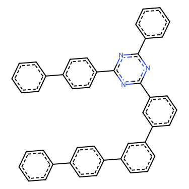 c1ccc(-c2ccc(-c3cccc(-c4cccc(-c5nc(-c6ccccc6)nc(-c6ccc(-c7ccccc7)cc6)n5)c4)c3)cc2)cc1